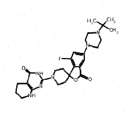 CC(C)(C)N1CCN(c2cc(F)c3c(c2)C(=O)OC32CCN(c3nc4c(c(=O)[nH]3)CCCN4)CC2)CC1